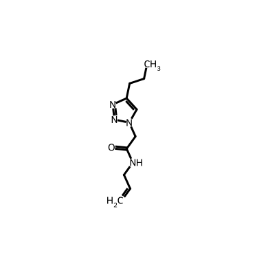 C=CCNC(=O)Cn1cc(CCC)nn1